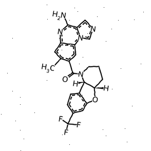 Cc1cc2nc(N)c3cncn3c2cc1C(=O)N1CCC[C@@H]2Oc3cc(C(F)(F)F)ccc3[C@@H]21